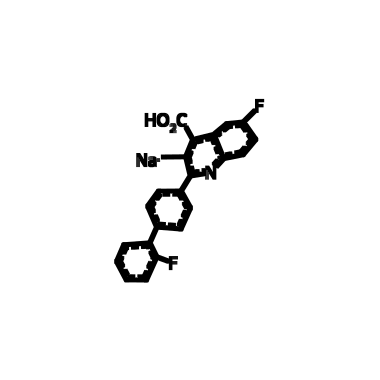 Cc1c(-c2ccc(-c3ccccc3F)cc2)nc2ccc(F)cc2c1C(=O)O.[Na]